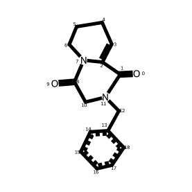 O=C1C2=CCCCN2C(=O)CN1Cc1ccccc1